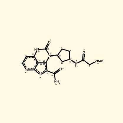 CNCC(=O)N[C@@H]1CC[C@H](N2C(=O)Nc3ccnc4sc(C(N)=O)c2c34)C1